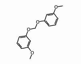 COc1cccc(OCOc2cccc(OC)c2)c1